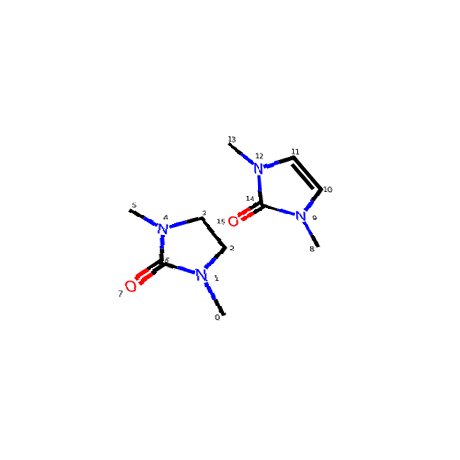 CN1CCN(C)C1=O.Cn1ccn(C)c1=O